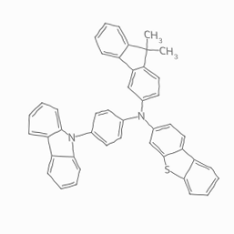 CC1(C)c2ccccc2-c2cc(N(c3ccc(-n4c5ccccc5c5ccccc54)cc3)c3ccc4c(c3)sc3ccccc34)ccc21